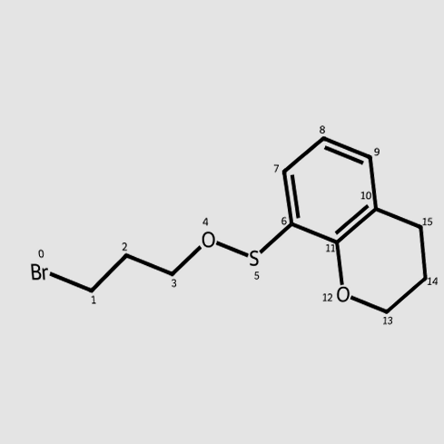 BrCCCOSc1cccc2c1OCCC2